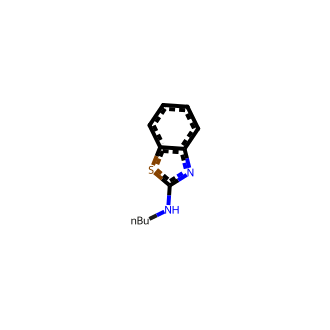 CCCCNc1nc2ccccc2s1